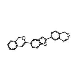 C1=Cc2cc(-c3cc4cc(C5=Cc6ccccc6CO5)ccc4s3)ccc2CS1